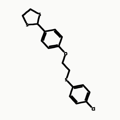 Clc1ccc(SCCOc2ccc(C3SCCS3)cc2)cc1